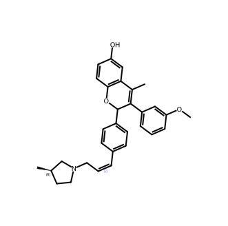 COc1cccc(C2=C(C)c3cc(O)ccc3OC2c2ccc(/C=C\CN3CC[C@@H](C)C3)cc2)c1